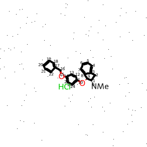 CN[C@H]1Cc2ccccc2[C@H]1Oc1ccc(OCc2ccccc2)cc1.Cl